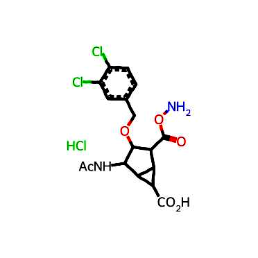 CC(=O)NC1C(OCc2ccc(Cl)c(Cl)c2)C(C(=O)ON)C2C(C(=O)O)C12.Cl